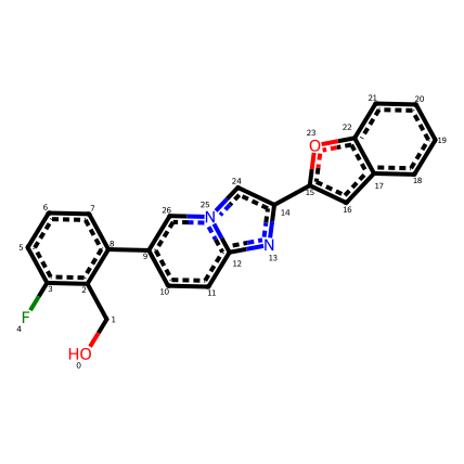 OCc1c(F)cccc1-c1ccc2nc(-c3cc4ccccc4o3)cn2c1